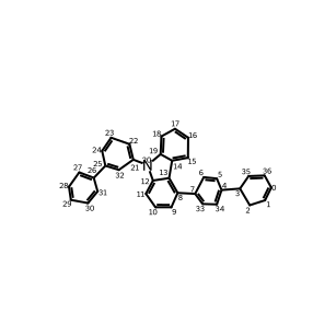 C1=CCC(c2ccc(-c3cccc4c3c3ccccc3n4-c3cccc(-c4ccccc4)c3)cc2)C=C1